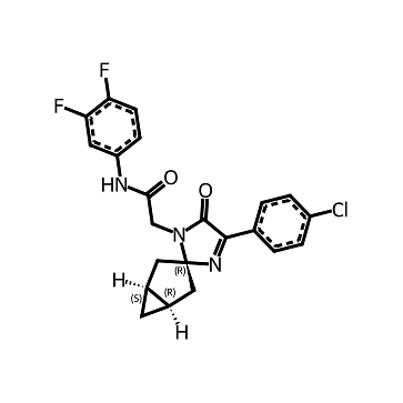 O=C(CN1C(=O)C(c2ccc(Cl)cc2)=N[C@@]12C[C@H]1C[C@H]1C2)Nc1ccc(F)c(F)c1